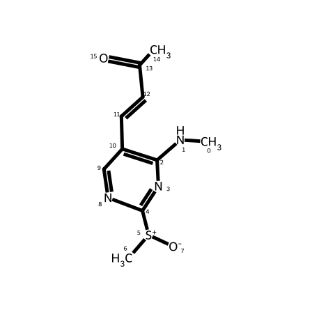 CNc1nc([S+](C)[O-])ncc1C=CC(C)=O